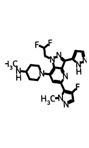 CNC1CCN(c2cc(-c3c(F)cnn3C)nc3c(-c4ccn[nH]4)nn(CC(F)F)c23)CC1